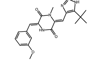 COc1cccc(/C=c2\[nH]c(=O)/c(=C/c3nc[nH]c3C(C)(C)C)n(C)c2=O)c1